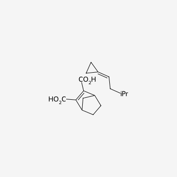 CC(C)CC=C1CC1.O=C(O)C1=C(C(=O)O)C2CCC1C2